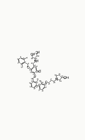 Cc1cccc(C)c1COc1cc(OCc2cccc(-c3cccc(OCCCN4CC[C@@H](O)C4)c3C)c2C)c(Cl)cc1CNC(CO)CO